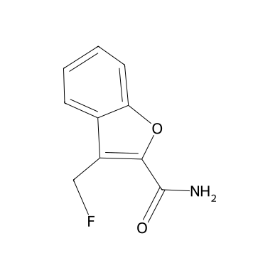 NC(=O)c1oc2ccccc2c1CF